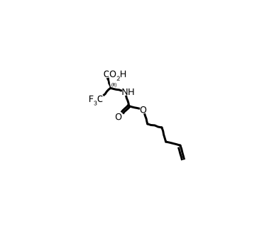 C=CCCCOC(=O)N[C@H](C(=O)O)C(F)(F)F